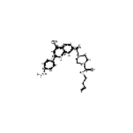 C=CCCOC(=O)N1CCN(C(=O)c2ccc3c(Cl)cc(-c4ccc(N)cc4)nc3c2)CC1